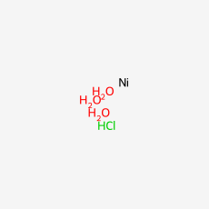 Cl.O.O.O.[Ni]